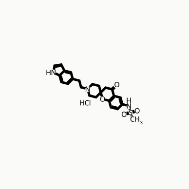 CS(=O)(=O)Nc1ccc2c(c1)C(=O)CC1(CCN(CCc3ccc4[nH]ccc4c3)CC1)O2.Cl